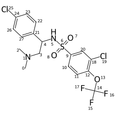 CN(C)CC(NS(=O)(=O)c1ccc(OC(F)(F)F)c(Cl)c1)c1ccc(Cl)cc1